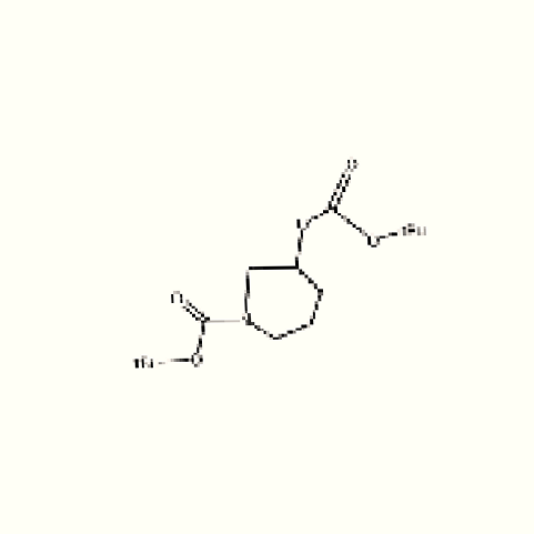 CC(C)(C)OC(=O)OC1CCCN(C(=O)OC(C)(C)C)C1